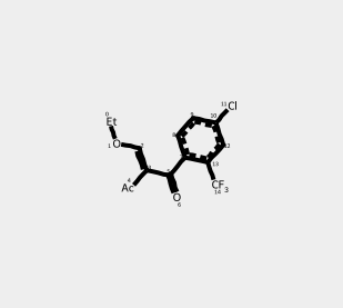 CCOC=C(C(C)=O)C(=O)c1ccc(Cl)cc1C(F)(F)F